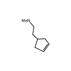 CNCCC1CC=CC1